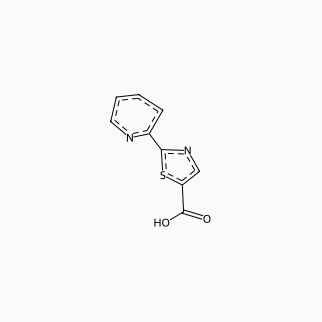 O=C(O)c1cnc(-c2ccccn2)s1